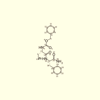 CC(C)C[C@H](NC(=O)OCc1ccccc1)C(=O)N[C@@H](Cc1ccccc1)C(N)=O